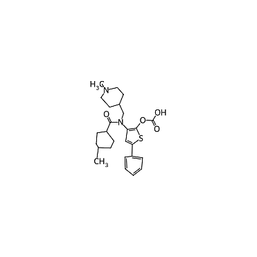 CC1CCC(C(=O)N(CC2CCN(C)CC2)c2cc(-c3ccccc3)sc2OC(=O)O)CC1